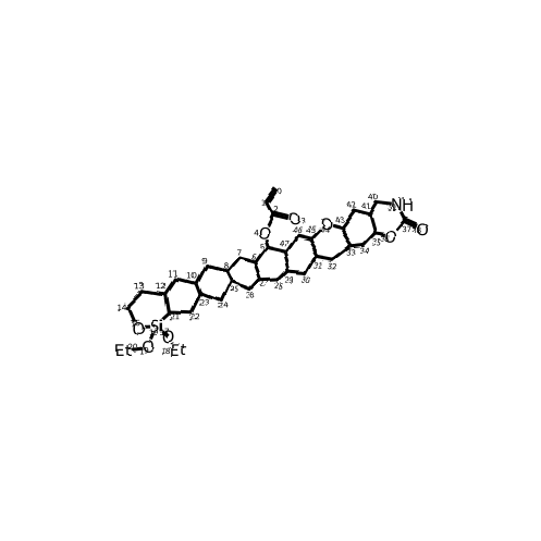 C=CC(=O)OC1C2CC3CC4CC5CCO[Si](OCC)(OCC)C5CC4CC3CC2CC2CC3CC4CC5OC(=O)NCC5CC4OC3CC21